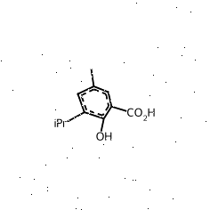 Cc1cc(C(=O)O)c(O)c(C(C)C)c1